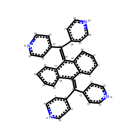 c1ccc2c(=C(c3ccncc3)c3ccncc3)c3ccccc3c(=C(c3ccncc3)c3ccncc3)c2c1